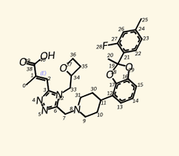 C/C(=C\c1nnc(CN2CCC(c3cccc4c3OC(C)(c3ccc(C)cc3F)O4)CC2)n1CC1CCO1)C(=O)O